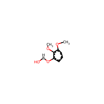 COc1cccc(OBO)c1OC